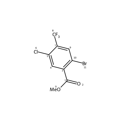 COC(=O)c1cc(Cl)c(C(F)(F)F)cc1Br